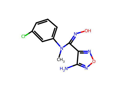 CN(C(=NO)c1nonc1N)c1cccc(Cl)c1